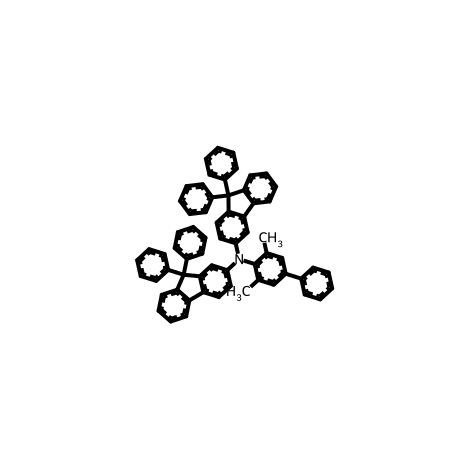 Cc1cc(-c2ccccc2)cc(C)c1N(c1ccc2c(c1)-c1ccccc1C2(c1ccccc1)c1ccccc1)c1ccc2c(c1)C(c1ccccc1)(c1ccccc1)c1ccccc1-2